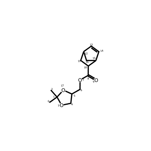 CC1(C)OCC(COC(=O)C2CC3C=CC2C3)O1